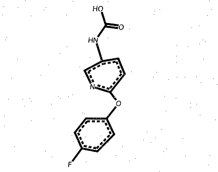 O=C(O)Nc1ccc(Oc2ccc(F)cc2)nc1